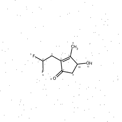 CC1=C(CC(F)F)C(=O)CC1O